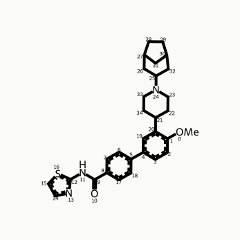 COc1ccc(-c2ccc(C(=O)Nc3nccs3)cc2)cc1C1CCN(C2CC3CCC(C3)C2)CC1